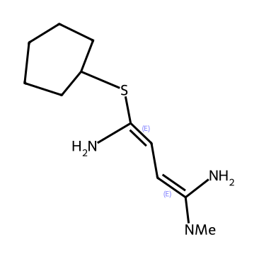 CN/C(N)=C/C=C(\N)SC1CCCCC1